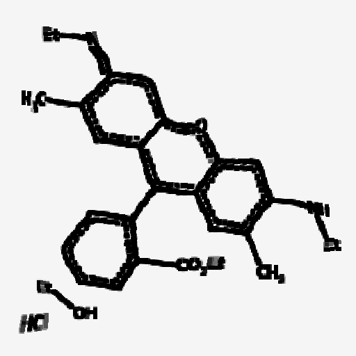 CC/N=c1/cc2oc3cc(NCC)c(C)cc3c(-c3ccccc3C(=O)OCC)c-2cc1C.CCO.Cl